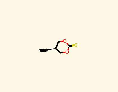 C#CC1COC(=S)OC1